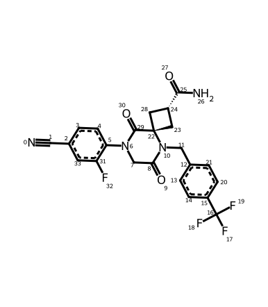 N#Cc1ccc(N2CC(=O)N(Cc3ccc(C(F)(F)F)cc3)[C@]3(C[C@@H](C(N)=O)C3)C2=O)c(F)c1